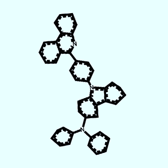 c1ccc(N(c2ccccc2)c2ccc3c(c2)c2ccccc2n3-c2ccc(-c3nc4ccccc4c4ccccc34)cc2)cc1